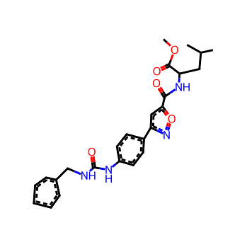 COC(=O)C(CC(C)C)NC(=O)c1cc(-c2ccc(NC(=O)NCc3ccccc3)cc2)no1